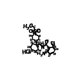 CCS(=O)(=O)N1CCN(C2(CNC(=O)c3c(N)cccc3Cl)CCCCC2)CC1.Cl